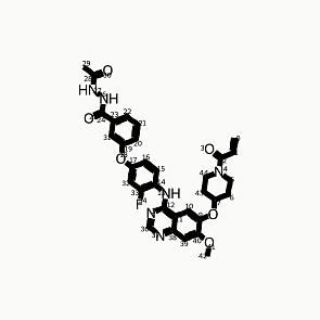 C=CC(=O)N1CCC(Oc2cc3c(Nc4ccc(Oc5cccc(C(=O)NNC(C)=O)c5)cc4F)ncnc3cc2OC)CC1